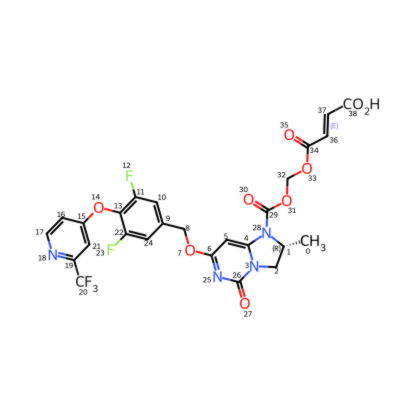 C[C@@H]1Cn2c(cc(OCc3cc(F)c(Oc4ccnc(C(F)(F)F)c4)c(F)c3)nc2=O)N1C(=O)OCOC(=O)/C=C/C(=O)O